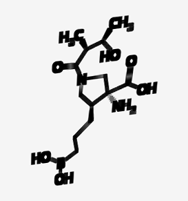 C[C@H](C(=O)N1C[C@H](CCCB(O)O)[C@](N)(C(=O)O)C1)[C@@H](C)O